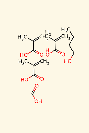 C=C(C)C(=O)O.C=C(C)C(=O)O.C=C(C)C(=O)O.CCCCO.O=CO